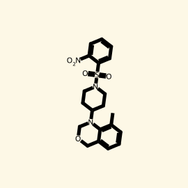 Cc1cccc2c1N(C1CCN(S(=O)(=O)c3ccccc3[N+](=O)[O-])CC1)COC2